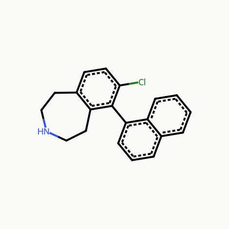 Clc1ccc2c(c1-c1cccc3ccccc13)CCNCC2